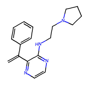 C=C(c1ccccc1)c1nccnc1NCCN1CCCC1